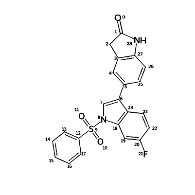 O=C1Cc2cc(-c3cn(S(=O)(=O)c4ccccc4)c4cc(F)ccc34)ccc2N1